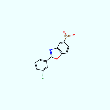 O=[SH](=O)c1ccc2oc(-c3cccc(Cl)c3)nc2c1